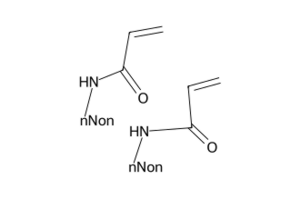 C=CC(=O)NCCCCCCCCC.C=CC(=O)NCCCCCCCCC